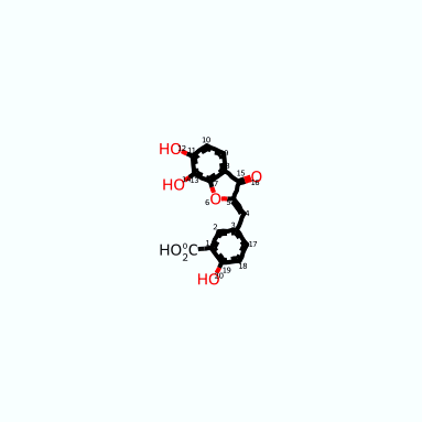 O=C(O)c1cc(C=C2Oc3c(ccc(O)c3O)C2=O)ccc1O